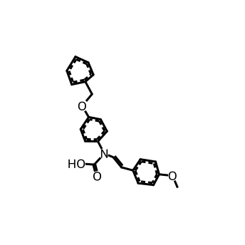 COc1ccc(C=CN(C(=O)O)c2ccc(OCc3ccccc3)cc2)cc1